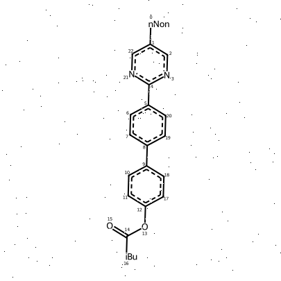 CCCCCCCCCc1cnc(-c2ccc(-c3ccc(OC(=O)C(C)CC)cc3)cc2)nc1